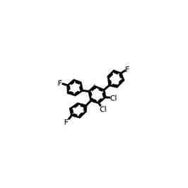 Fc1ccc(-c2[c]c(-c3ccc(F)cc3)c(-c3ccc(F)cc3)c(Cl)c2Cl)cc1